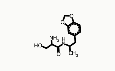 CC(Cc1ccc2c(c1)OCO2)NC(=O)C(N)CO